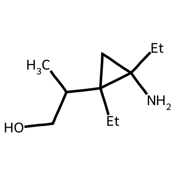 CCC1(N)CC1(CC)C(C)CO